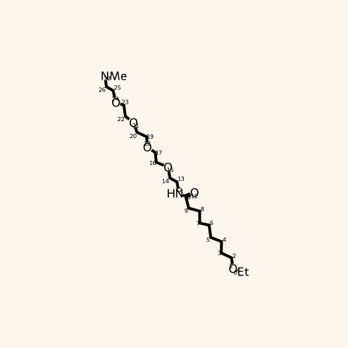 CCOCCCCCCCCC(=O)NCCOCCOCCOCCOCCNC